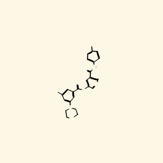 COc1ccc(NC(=O)c2cc(NC(=O)c3cc(F)cc(N4CCOCC4)c3)cnc2C)cc1